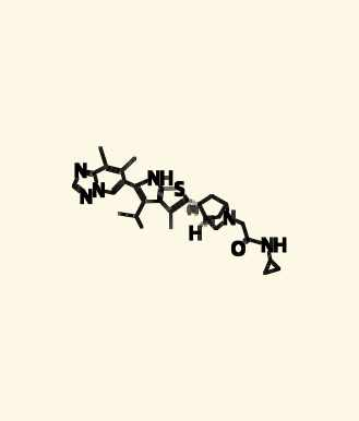 Cc1c(-c2[nH]c3sc([C@@H]4CC5C[C@H]4CN5CC(=O)NC4CC4)c(C)c3c2C(C)C)cn2ncnc2c1C